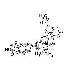 COC(=O)CCN(C(=O)C1CCCN1C(=O)C(NC(=O)c1cc2cc(C(F)(F)P(=O)(O)O)ccc2s1)C(C)(C)C)c1ccccc1